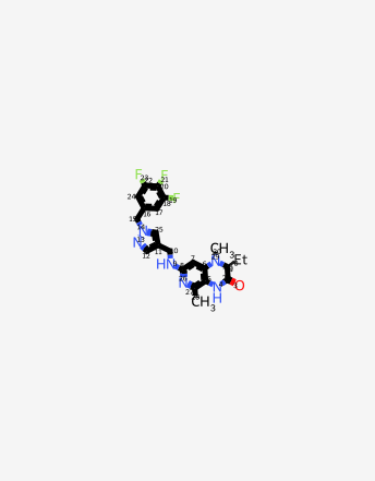 CC[C@H]1C(=O)Nc2c(cc(NCc3cnn(Cc4cc(F)c(F)c(F)c4)c3)nc2C)N1C